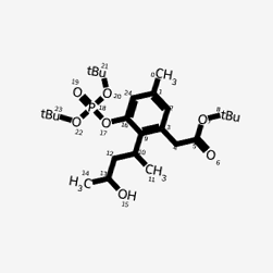 Cc1cc(CC(=O)OC(C)(C)C)c(C(C)CC(C)O)c(OP(=O)(OC(C)(C)C)OC(C)(C)C)c1